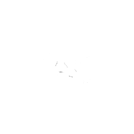 c1cc2c(OC3CCO3)c(CC3CO3)ccc2c(OCC2CO2)c1CC1CO1